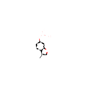 Cc1coc2cc(OB(O)O)ccc12